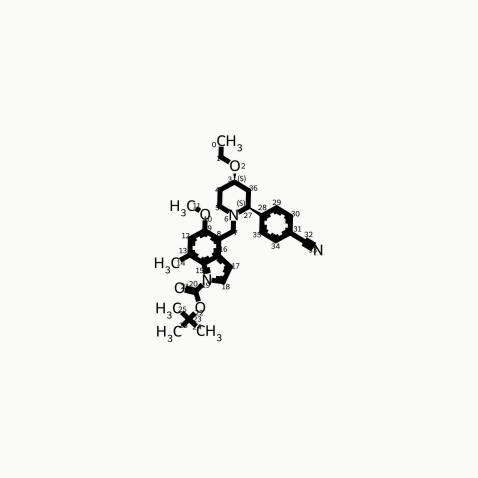 CCO[C@H]1CCN(Cc2c(OC)cc(C)c3c2ccn3C(=O)OC(C)(C)C)[C@H](c2ccc(C#N)cc2)C1